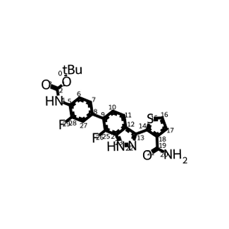 CC(C)(C)OC(=O)Nc1ccc(-c2ccc3c(-c4sccc4C(N)=O)n[nH]c3c2F)cc1F